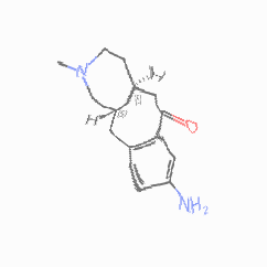 CN1CC[C@H]2CC(=O)c3cc(N)ccc3C[C@@H]2C1